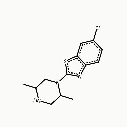 CC1CN(c2nc3ccc(Cl)cc3s2)C(C)CN1